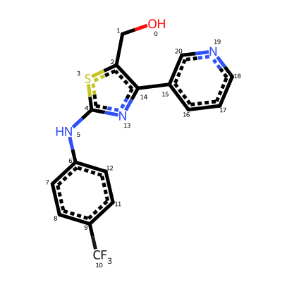 OCc1sc(Nc2ccc(C(F)(F)F)cc2)nc1-c1cccnc1